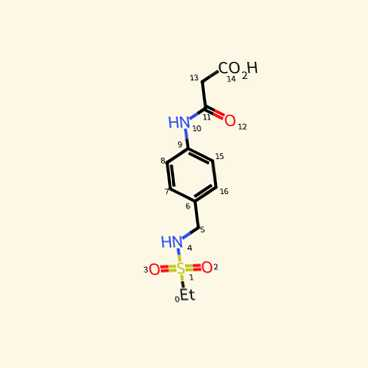 CCS(=O)(=O)NCc1ccc(NC(=O)CC(=O)O)cc1